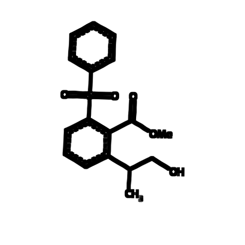 COC(=O)c1c(C(C)CO)cccc1S(=O)(=O)c1ccccc1